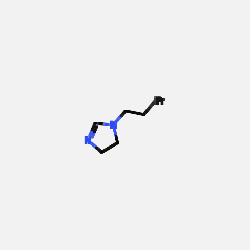 CC(C)CCN1C=NCC1